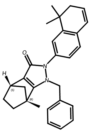 CC1(C)CC=Cc2ccc(-n3c(=O)c4c(n3Cc3ccccc3)[C@]3(C)CC[C@H]4C3)cc21